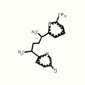 CC(CCC(C)c1cccc(C(F)(F)F)n1)c1ccc(Cl)cn1